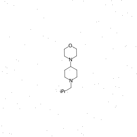 C[C](C)CN1CCC(N2CCOCC2)CC1